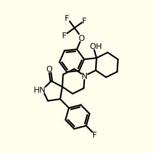 O=C1NCC(c2ccc(F)cc2)C12CCN(C1CCCCC1(O)c1ccccc1OC(F)(F)F)CC2